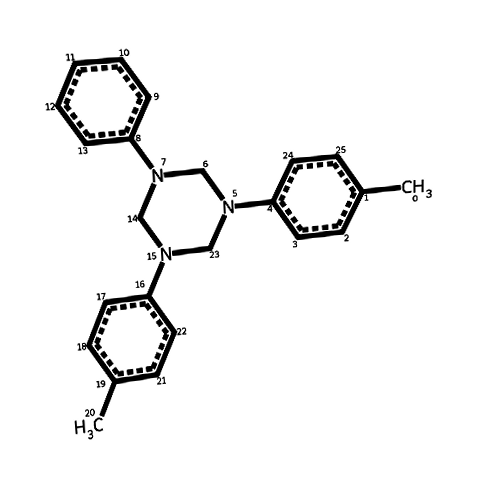 Cc1ccc(N2CN(c3ccccc3)CN(c3ccc(C)cc3)C2)cc1